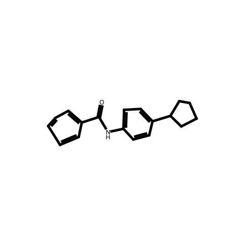 O=C(Nc1ccc(C2CCCC2)cc1)c1ccccc1